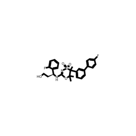 CC1(C)OC(N[C@@H](CCO)c2ccccc2F)=NS(=O)(=O)C1(C)c1cccc(-c2ccc(F)cc2)c1